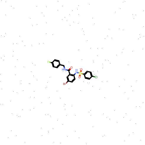 O=C(NCc1ccc(F)cc1)c1cc(Br)ccc1NS(=O)(=O)c1ccc(Cl)cc1